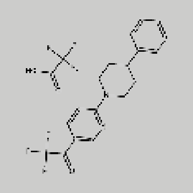 O=C(O)C(F)(F)F.O=C(c1ccc(N2CCC(c3ccccc3)CC2)nc1)C(F)(F)F